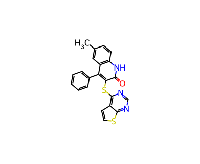 Cc1ccc2[nH]c(=O)c(Sc3ncnc4sccc34)c(-c3ccccc3)c2c1